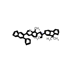 C=C/C(=C\c1ccc2cc(-c3cc4ccccc4cc3-c3ccccc3)cnc2c1C)c1ccc2c(c1)C(C)(C)c1ccccc1-2